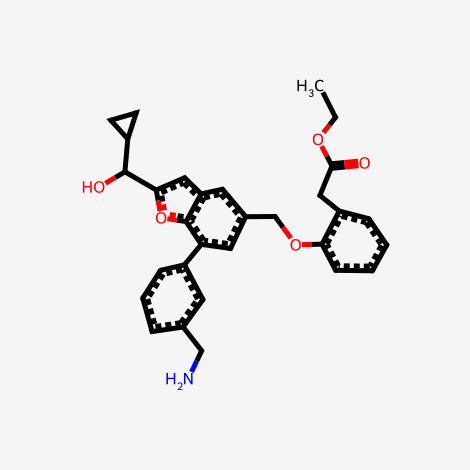 CCOC(=O)Cc1ccccc1OCc1cc(-c2cccc(CN)c2)c2oc(C(O)C3CC3)cc2c1